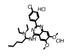 CCCCC(Nc1nc(-c2ccc(Cl)cc2)nc2cc(OC)c(OC)cc12)N(CC)CC.Cl.Cl